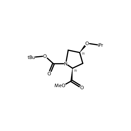 COC(=O)[C@@H]1C[C@H](OC(C)C)CN1C(=O)OC(C)(C)C